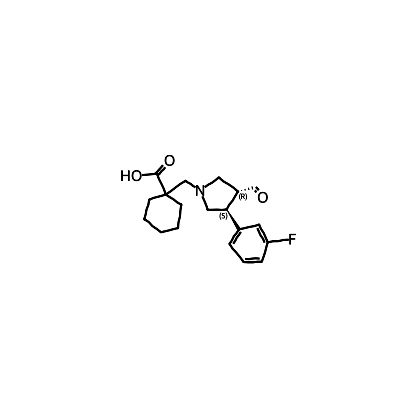 O=C[C@H]1CN(CC2(C(=O)O)CCCCC2)C[C@@H]1c1cccc(F)c1